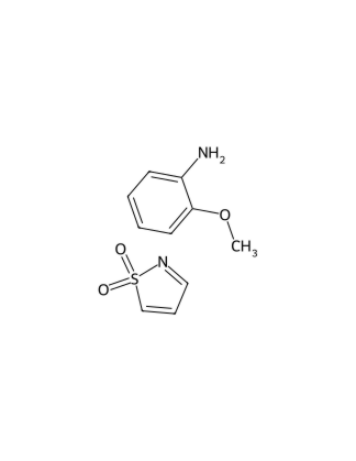 COc1ccccc1N.O=S1(=O)C=CC=N1